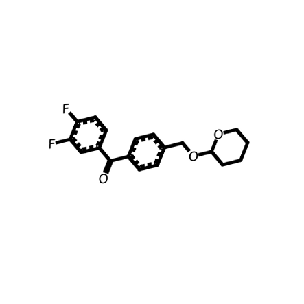 O=C(c1ccc(COC2CCCCO2)cc1)c1ccc(F)c(F)c1